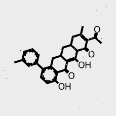 CC(=O)C1=C(C)CC2CC3Cc4c(-c5cccc(C)c5)ccc(O)c4C(=O)C3=C(O)C2C1=O